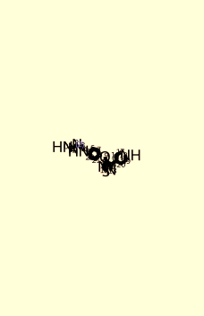 N=N/N=C\Nc1ccc(Oc2nsnc2C2=CCNCC2)cc1